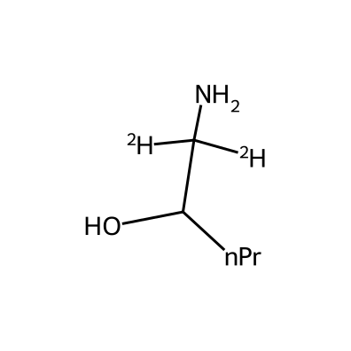 [2H]C([2H])(N)C(O)CCC